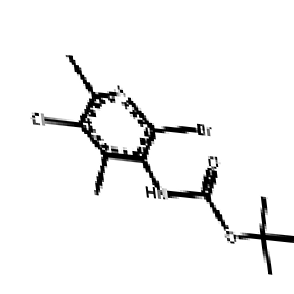 Cc1nc(Br)c(NC(=O)OC(C)(C)C)c(C)c1Cl